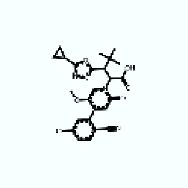 COc1cn(C(C(=O)O)C(c2nnc(C3CC3)o2)C(C)(C)C)c(=O)cc1-c1cc(Cl)ccc1C#N